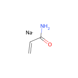 C=CC(N)=O.[Na]